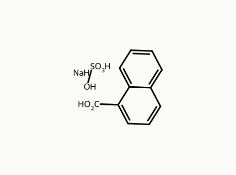 O=C(O)c1cccc2ccccc12.O=S(=O)(O)O.[NaH]